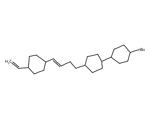 C=CC1CCC(C=CCCC2CCC(C3CCC(CCCC)CC3)CC2)CC1